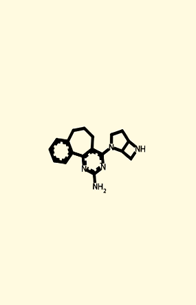 Nc1nc2c(c(N3CCC4NCC43)n1)CCCc1ccccc1-2